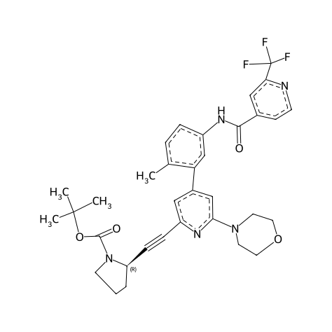 Cc1ccc(NC(=O)c2ccnc(C(F)(F)F)c2)cc1-c1cc(C#C[C@H]2CCCN2C(=O)OC(C)(C)C)nc(N2CCOCC2)c1